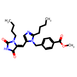 CCCCc1ncc(C=C2C(=O)NC(=O)N2CCCC)n1Cc1ccc(C(=O)OC)cc1